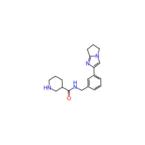 O=C(NCc1cccc(-c2cn3c(n2)CCC3)c1)C1CCCNC1